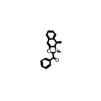 C=C1c2ccccc2C=C2OC(C(=O)c3ccccc3)N(C)C12